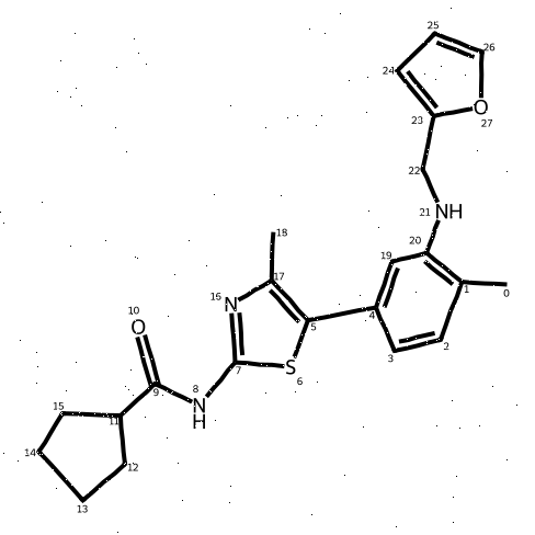 Cc1ccc(-c2sc(NC(=O)C3CCCC3)nc2C)cc1NCc1ccco1